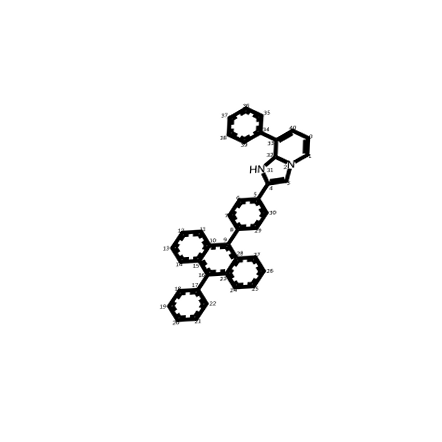 C1=CN2C=C(c3ccc(-c4c5ccccc5c(-c5ccccc5)c5ccccc45)cc3)NC2C(c2ccccc2)=C1